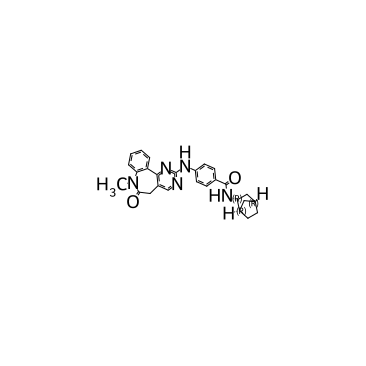 CN1C(=O)Cc2cnc(Nc3ccc(C(=O)N[C@@H]4C[C@@H]5CC[C@@H]4C5)cc3)nc2-c2ccccc21